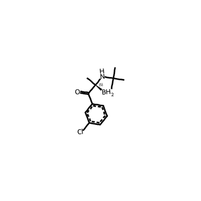 B[C@@](C)(NC(C)(C)C)C(=O)c1cccc(Cl)c1